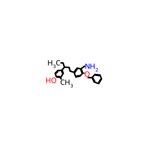 CCC(CCc1ccc(OCc2ccccc2)c(CN)c1)c1ccc(O)c(C)c1